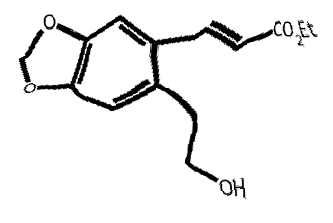 CCOC(=O)C=Cc1cc2c(cc1CCO)OCO2